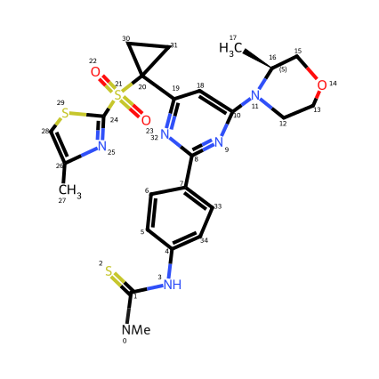 CNC(=S)Nc1ccc(-c2nc(N3CCOC[C@@H]3C)cc(C3(S(=O)(=O)c4nc(C)cs4)CC3)n2)cc1